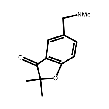 CNCc1ccc2c(c1)C(=O)C(C)(C)O2